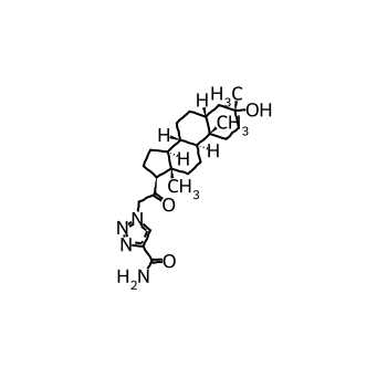 C[C@@]1(O)CC[C@@]2(C)[C@H](CC[C@@H]3[C@@H]2CC[C@]2(C)[C@@H](C(=O)Cn4cc(C(N)=O)nn4)CC[C@@H]32)C1